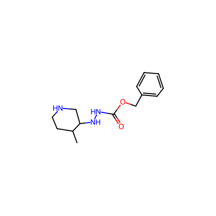 CC1CCNCC1NNC(=O)OCc1ccccc1